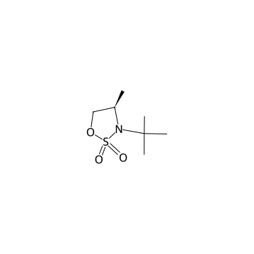 C[C@@H]1COS(=O)(=O)N1C(C)(C)C